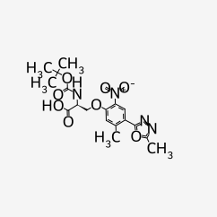 Cc1nnc(-c2cc([N+](=O)[O-])c(OC[C@H](NC(=O)OC(C)(C)C)C(=O)O)cc2C)o1